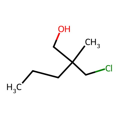 CCCC(C)(CO)CCl